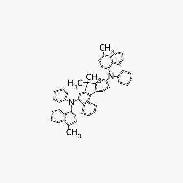 Cc1ccc(N(c2ccccc2)c2ccc3c(c2)C(C)(C)c2cc(N(c4ccccc4)c4ccc(C)c5ccccc45)c4ccccc4c2-3)c2ccccc12